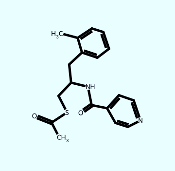 CC(=O)SCC(Cc1ccccc1C)NC(=O)c1ccncc1